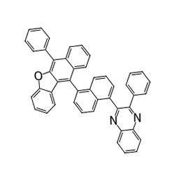 c1ccc(-c2nc3ccccc3nc2-c2cccc3c(-c4c5ccccc5c(-c5ccccc5)c5oc6ccccc6c45)cccc23)cc1